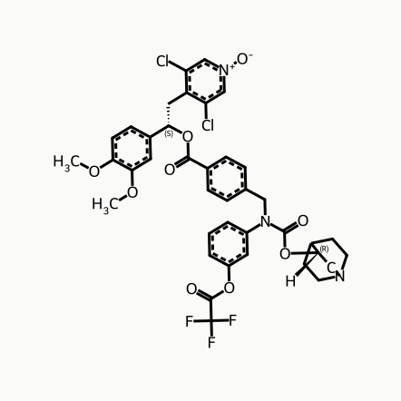 COc1ccc([C@H](Cc2c(Cl)c[n+]([O-])cc2Cl)OC(=O)c2ccc(CN(C(=O)O[C@H]3CN4CCC3CC4)c3cccc(OC(=O)C(F)(F)F)c3)cc2)cc1OC